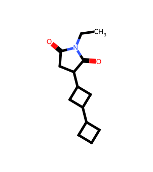 CCN1C(=O)CC(C2CC(C3CCC3)C2)C1=O